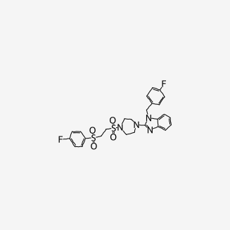 O=S(=O)(CCS(=O)(=O)N1CCN(c2nc3ccccc3n2Cc2ccc(F)cc2)CC1)c1ccc(F)cc1